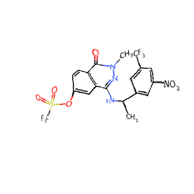 CC(Nc1nn(C)c(=O)c2ccc(OS(=O)(=O)C(F)(F)F)cc12)c1cc([N+](=O)[O-])cc(C(F)(F)F)c1